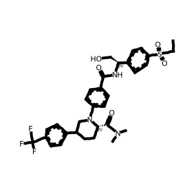 CCS(=O)(=O)c1ccc([C@H](CO)NC(=O)c2ccc(N3CC(c4ccc(C(F)(F)F)cc4)CC[C@H]3C(=O)N(C)C)cc2)cc1